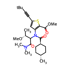 COC(=O)c1sc(C#CC(C)(C)C)cc1N(C(=O)[C@H]1CC[C@H](C)CC1)C(C(=O)N(C)C)[C@@H](C)OC